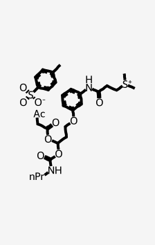 CCCNC(=O)OC(CCOc1cccc(NC(=O)CC[S+](C)C)c1)OC(=O)CC(C)=O.Cc1ccc(S(=O)(=O)[O-])cc1